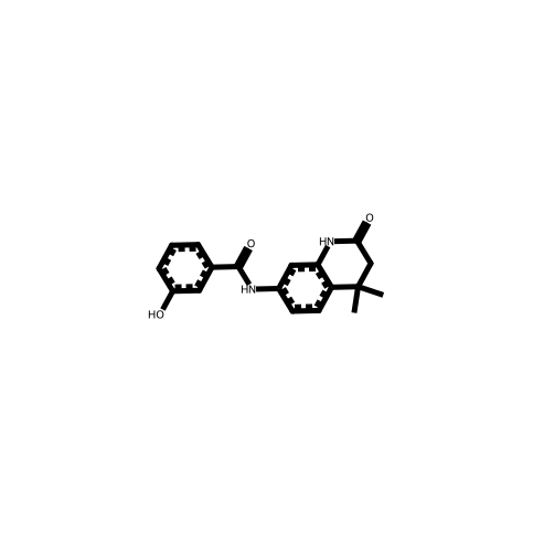 CC1(C)CC(=O)Nc2cc(NC(=O)c3cccc(O)c3)ccc21